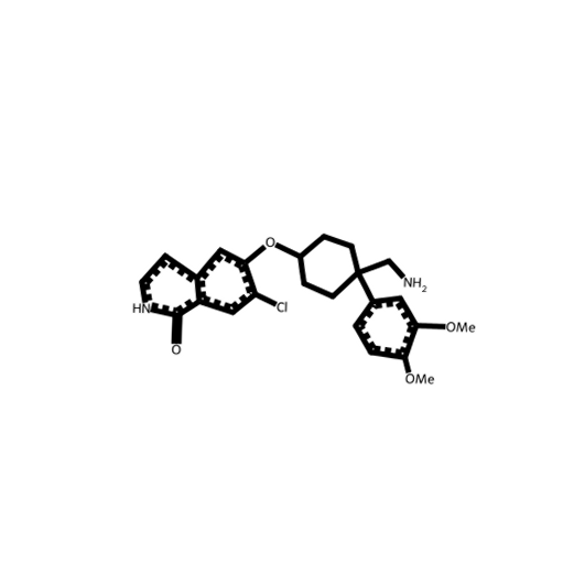 COc1ccc(C2(CN)CCC(Oc3cc4cc[nH]c(=O)c4cc3Cl)CC2)cc1OC